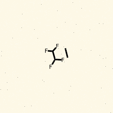 CC.FC(F)C(F)F